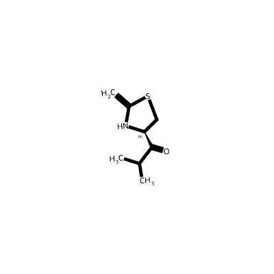 C=C1N[C@H](C(=O)C(C)C)CS1